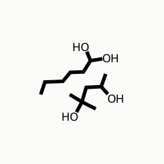 CC(O)CC(C)(C)O.CCCCCC(O)O